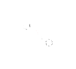 Cc1ccc(CCCOS(=O)(=O)C2=CCC(C)C=C2)cc1